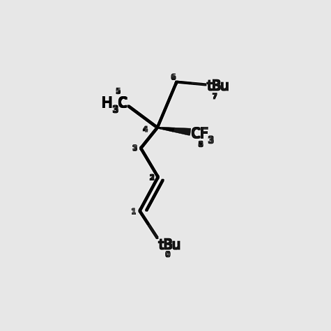 CC(C)(C)/C=C/C[C@](C)(CC(C)(C)C)C(F)(F)F